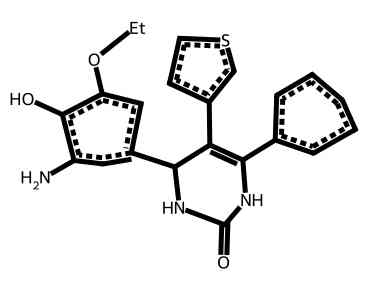 CCOc1cc(C2NC(=O)NC(c3ccccc3)=C2c2ccsc2)cc(N)c1O